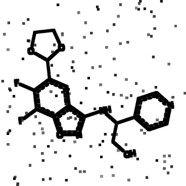 OCC(Nc1noc2c(F)c(F)c(C3OCCO3)cc12)c1ccncc1